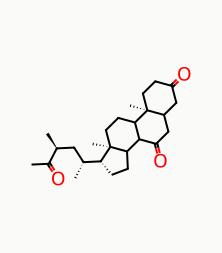 CC(=O)[C@@H](C)C[C@@H](C)[C@H]1CCC2C3C(=O)CC4CC(=O)CC[C@]4(C)C3CC[C@@]21C